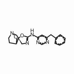 c1ccc(Cc2cc(NC3=NC[C@@]4(CN5CCC4CC5)O3)ncn2)cc1